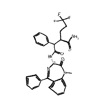 CN1C(=O)[C@@H](NC(=O)C(c2ccccc2)C(CCC(F)(F)F)C(N)=O)N=C(c2ccccc2)c2ccccc21